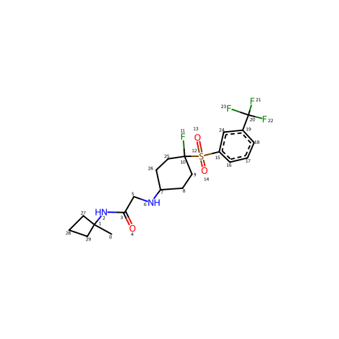 CC1(NC(=O)CNC2CCC(F)(S(=O)(=O)c3cccc(C(F)(F)F)c3)CC2)CCC1